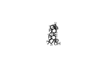 CC1(C)C=C2[C@H]3CC[C@@H]4[C@@]5(C)CCC6OC(C[C@@]4(C)[C@]3(C)CC[C@@]2(C(=O)O)CC1)[C@H]5C6(C)C